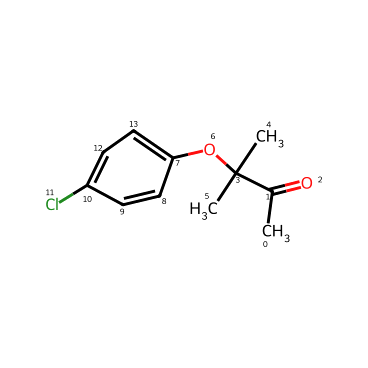 CC(=O)C(C)(C)Oc1ccc(Cl)cc1